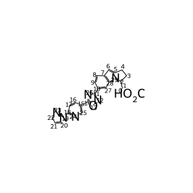 O=C(O)CC1CCc2cc3ccc(-c4noc(-c5ccc(-n6cccn6)nc5)n4)cc3n21